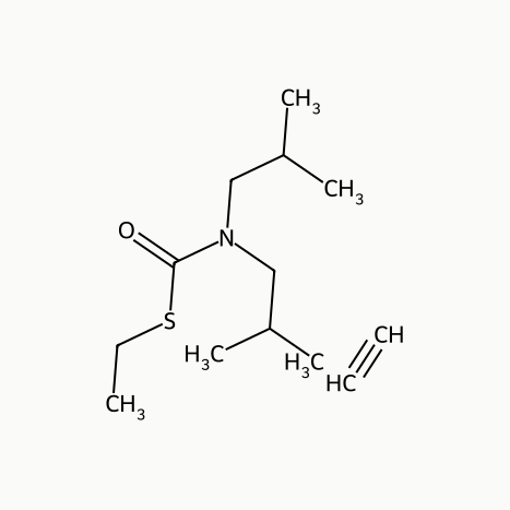 C#C.CCSC(=O)N(CC(C)C)CC(C)C